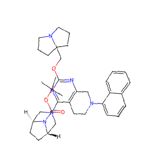 CC(C)(C)OC(=O)N1[C@H]2CC[C@H]1CN(c1nc(OCC34CCCN3CCC4)nc3c1CCN(c1cccc4ccccc14)C3)C2